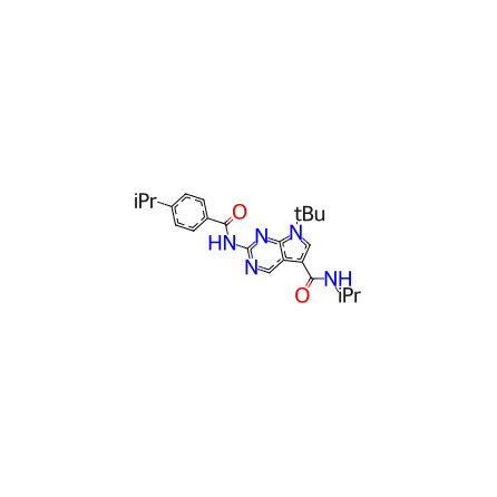 CC(C)NC(=O)c1cn(C(C)(C)C)c2nc(NC(=O)c3ccc(C(C)C)cc3)ncc12